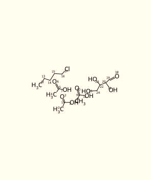 CC(=O)O.CC(=O)O.CC(=O)O.CCCCCCl.O=CC(O)C(O)CO